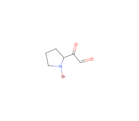 O=CC(=O)C1CCCN1Br